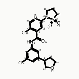 O=C(Nc1cc(Cl)cc(C2CCOC2)c1)c1cc(N2CCCS2(=O)=O)ncc1Cl